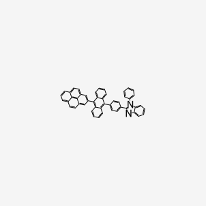 c1ccc(-n2c(-c3ccc(-c4c5ccccc5c(-c5cc6ccc7cccc8ccc(c5)c6c78)c5ccccc45)cc3)nc3ccccc32)cc1